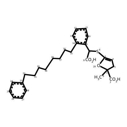 CC1(C(=O)O)CC=C(SC(C(=O)O)c2ccccc2CCCCCCCCc2ccccc2)O1